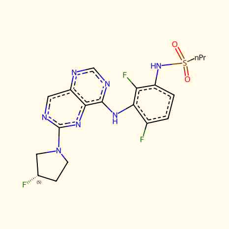 CCCS(=O)(=O)Nc1ccc(F)c(Nc2ncnc3cnc(N4CC[C@H](F)C4)nc23)c1F